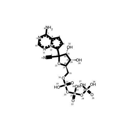 N#CC1(c2ccc3c(N)ncnn23)O[C@H](COP(=O)(O)OP(=O)(O)OP(=O)(O)O)[C@@H](O)[C@H]1O